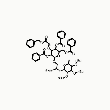 CCCCOC1C(C)OC(OC(COC2OC(COC(=O)c3ccccc3)C(OC(=O)c3ccccc3)C(O[C@@H](C)C(=O)OCc3ccccc3)C2OC(=O)c2ccccc2)C(C)CCC)C(OCCCC)C1OCCCC